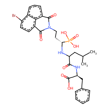 CC(C)CC(N[C@H](CCN1C(=O)c2cccc3c(Br)ccc(c23)C1=O)P(=O)(O)O)C(=O)N[C@@H](Cc1ccccc1)C(=O)O